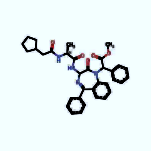 COC(=O)C(c1ccccc1)N1C(=O)C(NC(=O)[C@H](C)NC(=O)CC2CCCC2)N=C(c2ccccc2)c2ccccc21